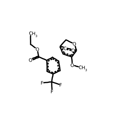 CCOC(=O)c1cccc(C(F)(F)F)c1.COc1cc2ccc1OC2